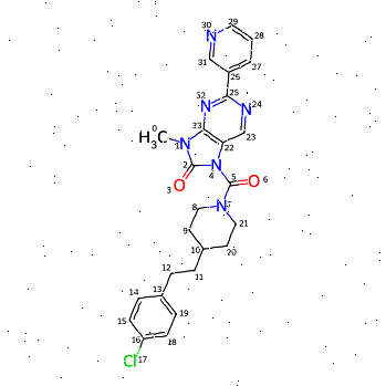 Cn1c(=O)n(C(=O)N2CCC(CCc3ccc(Cl)cc3)CC2)c2cnc(-c3cccnc3)nc21